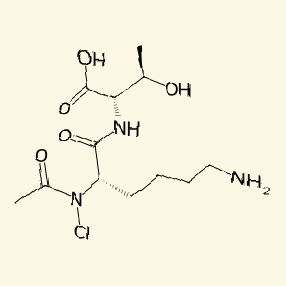 CC(=O)N(Cl)[C@@H](CCCCN)C(=O)N[C@H](C(=O)O)[C@@H](C)O